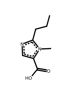 CCCc1ncc(C(=O)O)n1C